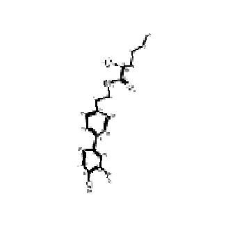 CCCC[C@H](N)C(=O)NCCc1ccc(-c2ccc(Cl)c(Cl)c2)cc1